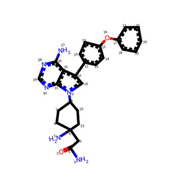 NC(=O)CC1(N)CCC(n2cc(-c3ccc(Oc4ccccc4)cc3)c3c(N)ncnc32)CC1